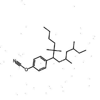 CCCCC(C)(C)C(CC(C)CC(C)CC)c1ccc(OC#N)cc1